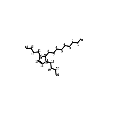 CCCCCCCCCC1N(CCCC)C=CN1CCCC